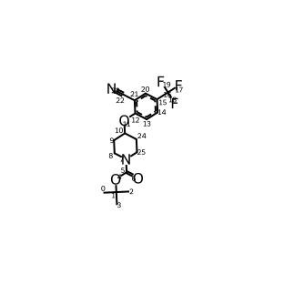 CC(C)(C)OC(=O)N1CCC(Oc2ccc(C(F)(F)F)cc2C#N)CC1